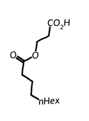 CCCCCCCCCC(=O)OCCC(=O)O